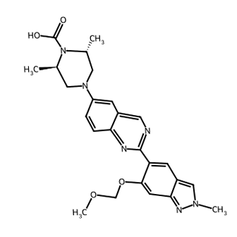 COCOc1cc2nn(C)cc2cc1-c1ncc2cc(N3C[C@@H](C)N(C(=O)O)[C@H](C)C3)ccc2n1